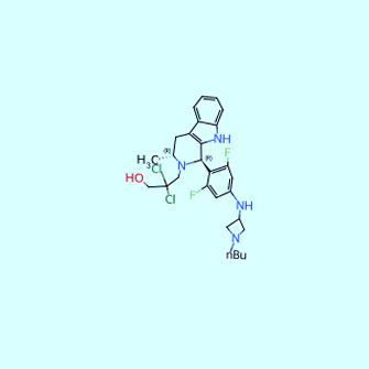 CCCCN1CC(Nc2cc(F)c([C@@H]3c4[nH]c5ccccc5c4C[C@@H](C)N3CC(Cl)(Cl)CO)c(F)c2)C1